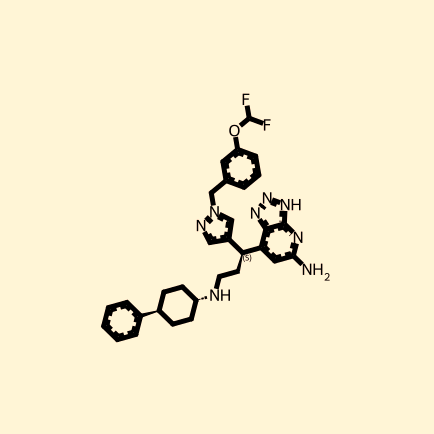 Nc1cc([C@@H](CCN[C@H]2CC[C@H](c3ccccc3)CC2)c2cnn(Cc3cccc(OC(F)F)c3)c2)c2nn[nH]c2n1